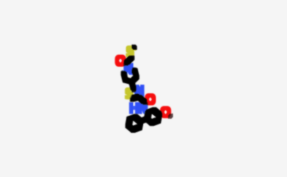 COc1ccc(-c2ccccc2)c(NC(=O)c2csc(C3CCN(C(=O)CSC)CC3)n2)c1